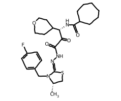 C[C@H]1CS/C(=N\NC(=O)C(=O)[C@@H](NC(=O)C2CCCCCC2)C2CCOCC2)N1Cc1ccc(F)cc1